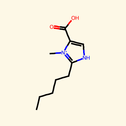 CCCCCc1[nH]cc(C(=O)O)[n+]1C